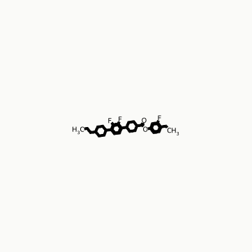 CCCC1CCC(c2ccc(C3CCC(C(=O)Oc4ccc(CC)c(F)c4)CC3)c(F)c2F)CC1